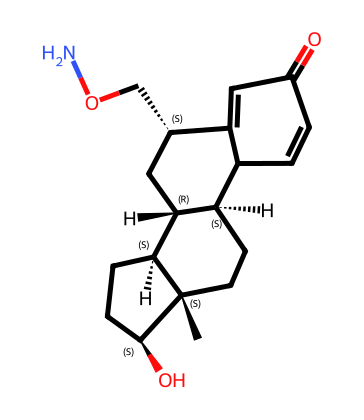 C[C@]12CC[C@@H]3C4C=CC(=O)C=C4[C@@H](CON)C[C@H]3[C@@H]1CC[C@@H]2O